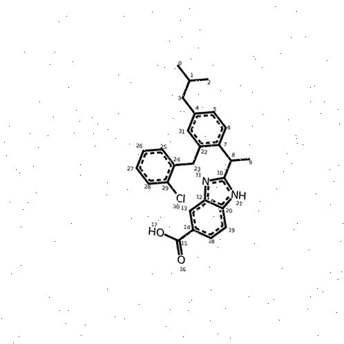 CC(C)Cc1ccc(C(C)c2nc3cc(C(=O)O)ccc3[nH]2)c(Cc2ccccc2Cl)c1